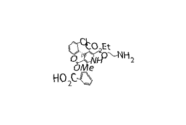 CCOC(=O)C1=C(COCCN)NC(C)=C(C(=O)OC)[C@@H]1c1ccccc1Cl.O=C(O)c1ccccc1